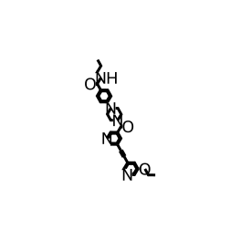 CCCNC(=O)c1ccc(N2CCN(C(=O)c3cncc(C#Cc4cncc(OCC)c4)c3)CC2)cc1